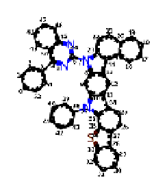 c1ccc(-c2nc(-n3c4cc5c(cc4c4c6ccccc6ccc43)c3ccc4c6ccccc6sc4c3n5-c3ccccc3)nc3ccccc23)cc1